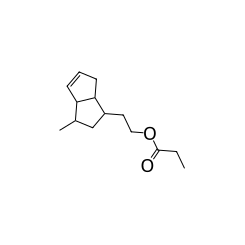 CCC(=O)OCCC1CC(C)C2C=CCC12